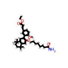 CCOC(=O)C=Cc1ccc(OC)c(-c2cc3c(cc2OCCCCCCCC(N)=O)C(C)(C)CCC3(C)C)c1